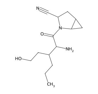 CCCC(CCO)C(N)C(=O)N1C(C#N)CC2CC21